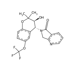 CC1(C)Oc2ccc(OC(F)(F)F)cc2[C@@H](N2Cc3ncccc3C2=O)[C@@H]1O